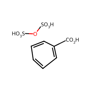 O=C(O)c1ccccc1.O=S(=O)(O)OS(=O)(=O)O